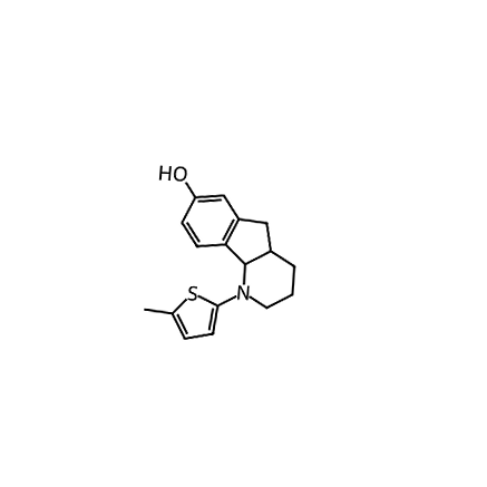 Cc1ccc(N2CCCC3Cc4cc(O)ccc4C32)s1